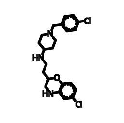 Clc1ccc(CN2CCC(NCCC3CNc4cc(Cl)ccc4O3)CC2)cc1